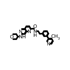 Cc1ccncc1-c1cccc(CCNC(=O)c2ccc3cnc(NC4CCOCC4)cc3n2)c1